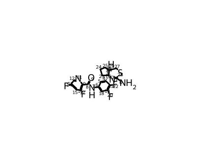 NC1=N[C@@]2(c3cc(NC(=O)c4ncc(F)cc4F)cc(F)c3F)CCC[C@H]2CS1